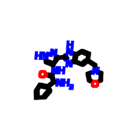 NC(C(=O)Nc1c[nH]nc1-c1nc2cc(CN3CCOCC3)ccc2[nH]1)c1ccccc1